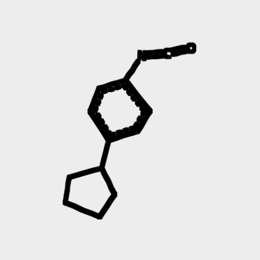 O=C=Nc1ccc(C2CCCC2)cc1